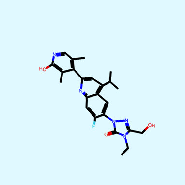 CCn1c(CO)nn(-c2cc3c(C(C)C)cc(-c4c(C)cnc(O)c4C)nc3cc2F)c1=O